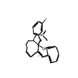 CN(C)CC1CCCC/C(=C/c2ccccc2)C1(O)Cc1cccc(F)c1